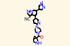 Cn1cc(-c2cc(-c3ccc(N4CCN(C(=O)C56CNCC5C6)CC4)nc3)c3c(C#N)cnn3c2)cn1